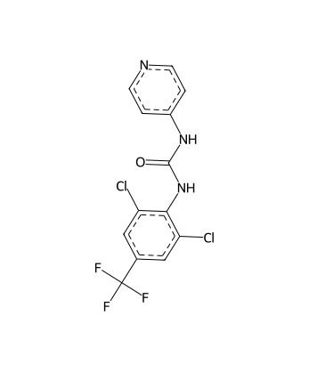 O=C(Nc1ccncc1)Nc1c(Cl)cc(C(F)(F)F)cc1Cl